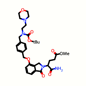 COC(=O)CCC(C(N)=O)N1Cc2c(OCc3ccc(CN(CCN4CCOCC4)C(=O)OC(C)(C)C)cc3)cccc2C1=O